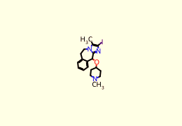 Cc1c(I)nc2n1CCc1ccccc1C2OC1CCN(C)CC1